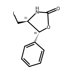 O=C1N[C@H](CI)[C@@H](c2ccccc2)O1